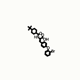 CC(C)(C)C1CCC(C(=O)N/C(=C/c2ccc(Oc3ccccc3Br)cc2)C(=O)O)CC1